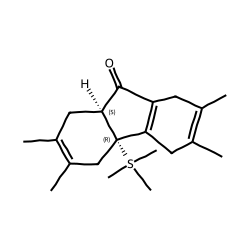 CC1=C(C)CC2=C(C1)C(=O)[C@@H]1CC(C)=C(C)C[C@]21S(C)(C)C